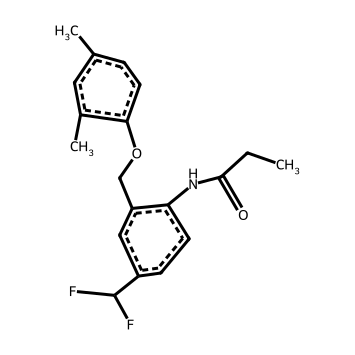 CCC(=O)Nc1ccc(C(F)F)cc1COc1ccc(C)cc1C